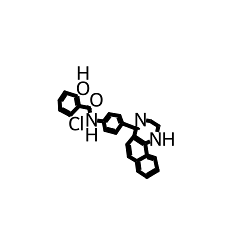 O=C(Nc1ccc(C2=NCCNc3c2ccc2ccccc32)cc1)c1c(O)cccc1Cl